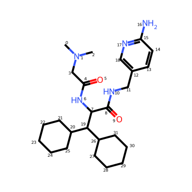 CN(C)CC(=O)NC(C(=O)NCc1ccc(N)nc1)C(C1CCCCC1)C1CCCCC1